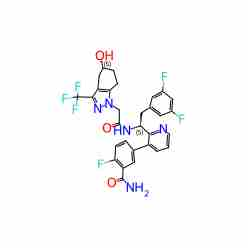 NC(=O)c1cc(-c2cccnc2[C@H](Cc2cc(F)cc(F)c2)NC(=O)Cn2nc(C(F)(F)F)c3c2CC[C@H](O)C3)ccc1F